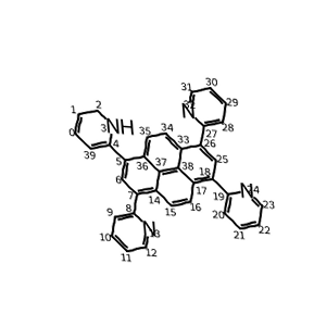 C1=CCNC(c2cc(-c3ccccn3)c3ccc4c(-c5ccccn5)cc(-c5ccccn5)c5ccc2c3c54)=C1